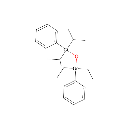 C[CH2][Ge]([CH2]C)([O][Ge]([c]1ccccc1)([CH](C)C)[CH](C)C)[c]1ccccc1